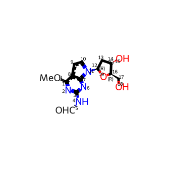 COc1nc(NC=O)nc2c1ccn2[C@H]1C[C@H](O)[C@@H](CO)O1